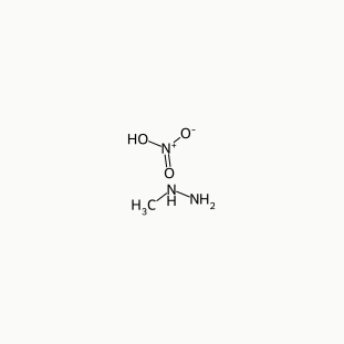 CNN.O=[N+]([O-])O